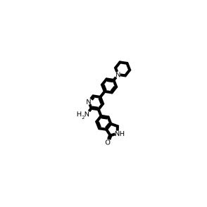 Nc1ncc(-c2ccc(N3CCCCC3)cc2)cc1-c1ccc2c(c1)CNC2=O